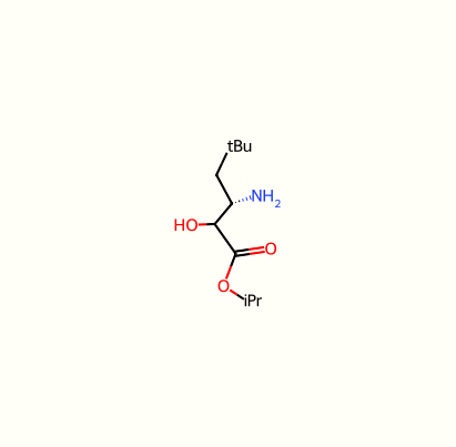 CC(C)OC(=O)C(O)[C@@H](N)CC(C)(C)C